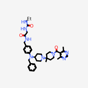 CCNC(=O)NCC(=O)NCc1ccc(N(Cc2ccccc2)C2CCN(C3(C)CCN(C(=O)c4c(C)ncnc4C)CC3)CC2)cc1